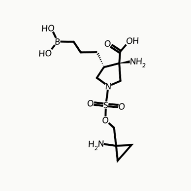 NC1(COS(=O)(=O)N2C[C@H](CCCB(O)O)[C@](N)(C(=O)O)C2)CC1